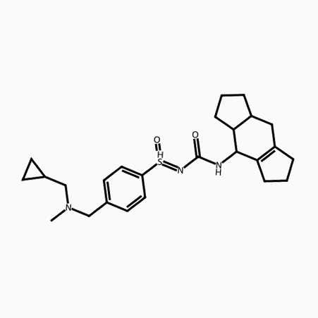 CN(Cc1ccc(/[SH](=O)=N/C(=O)NC2C3=C(CCC3)CC3CCCC32)cc1)CC1CC1